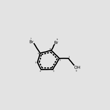 OCc1cccc(Br)c1Br